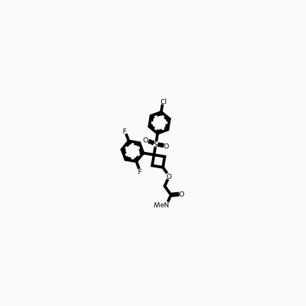 CNC(=O)COC1CC(c2cc(F)ccc2F)(S(=O)(=O)c2ccc(Cl)cc2)C1